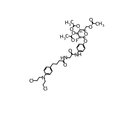 CC(=O)OC[C@H]1O[C@@H](Oc2ccc(NC(=O)CNC(=O)CCCc3ccc(N(CCCl)CCCl)cc3)cc2)[C@H](F)[C@@H](OC(C)=O)[C@@H]1OC(C)=O